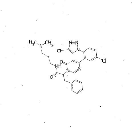 CN(C)CCCNC(=O)C(Cc1ccccc1)n1cnc(-c2cc(Cl)ccc2-n2cc(Cl)nn2)cc1=O